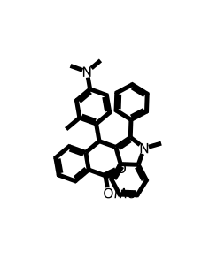 COC(=O)c1ccccc1C(c1ccc(N(C)C)cc1C)c1c(-c2ccccc2)n(C)c2ccccc12